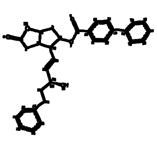 O=C1CC2C(CC(OC(=O)c3ccc(-c4ccccc4)cc3)C2C=C[C@@H](O)CCc2ccccc2)O1